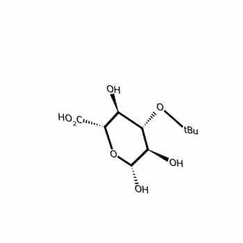 CC(C)(C)O[C@@H]1[C@@H](O)[C@H](O)O[C@H](C(=O)O)[C@H]1O